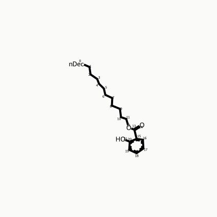 CCCCCCCCCCCCCCCCCCCCCOC(=O)c1ccccc1O